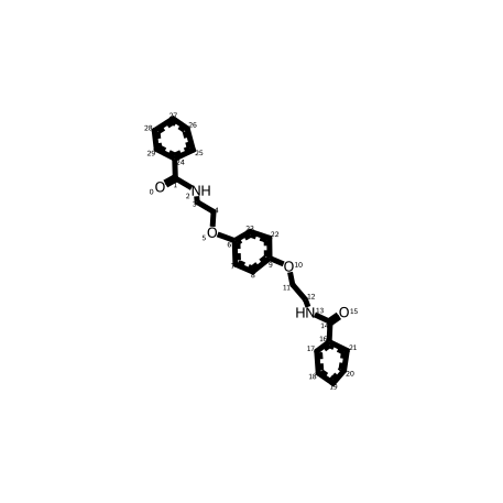 O=C(NCCOc1ccc(OCCNC(=O)c2ccccc2)cc1)c1ccccc1